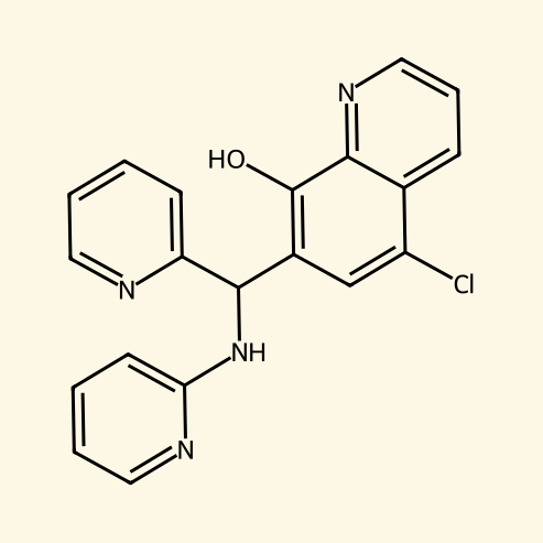 Oc1c(C(Nc2ccccn2)c2ccccn2)cc(Cl)c2cccnc12